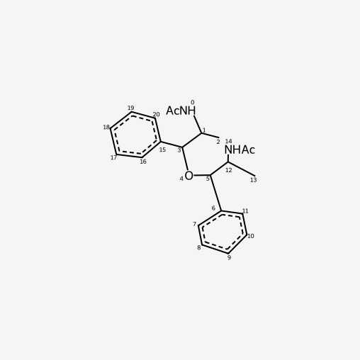 CC(=O)NC(C)C(OC(c1ccccc1)C(C)NC(C)=O)c1ccccc1